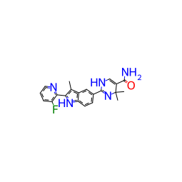 Cc1c(-c2ncccc2F)[nH]c2ccc(C3=NC(C)(C)C(C(N)=O)=CN3)cc12